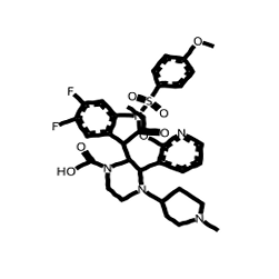 CCOc1ncccc1C1C(C2C(=O)N(S(=O)(=O)c3ccc(OC)cc3)c3cc(F)c(F)cc32)N(C(=O)O)CCN1C1CCN(C)CC1